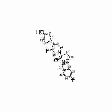 O=C1C(N2CC[C@@H](c3ccc(O)cc3)[C@H](F)C2)CCON1Cc1ccc(F)cc1